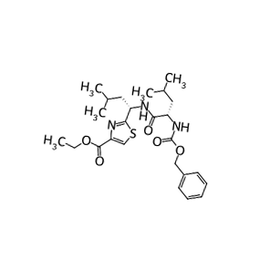 CCOC(=O)c1csc([C@H](CC(C)C)NC(=O)[C@H](CC(C)C)NC(=O)OCc2ccccc2)n1